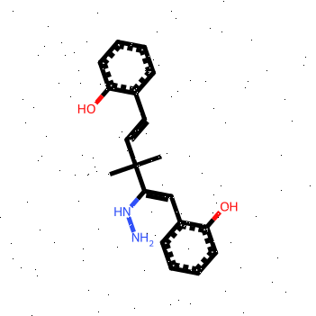 CC(C)(C=Cc1ccccc1O)C(=Cc1ccccc1O)NN